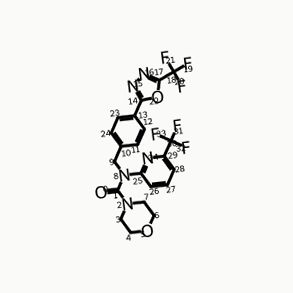 O=C(N1CCOCC1)N(Cc1ccc(-c2nnc(C(F)(F)F)o2)cc1)c1cccc(C(F)(F)F)n1